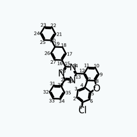 Clc1ccc2c(c1)oc1cccc(-c3nc(C4=CCC(c5ccccc5)C=C4)nc(-c4ccccc4)n3)c12